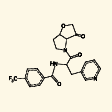 O=C(NC(Cc1cccnc1)C(=O)N1CCC2OCC(=O)C21)c1ccc(C(F)(F)F)cc1